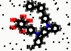 CC1C=c2c(c3cc4c5ccccc5n(-c5ccc(-c6cccc(-c7ccccc7)c6)cc5)c4cc3n2-c2ccc(-c3c(O)c(O)c(O)c(O)c3O)cc2)=CC1